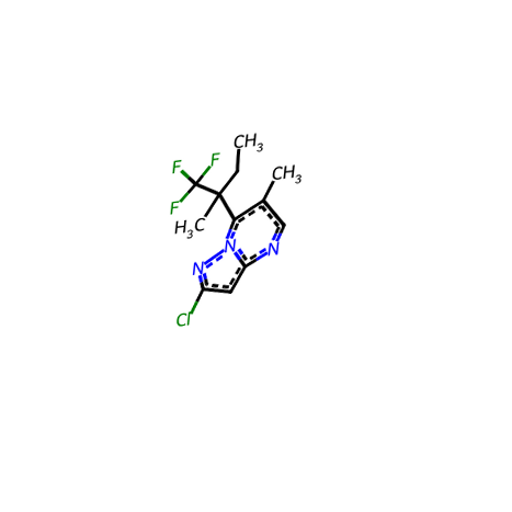 CCC(C)(c1c(C)cnc2cc(Cl)nn12)C(F)(F)F